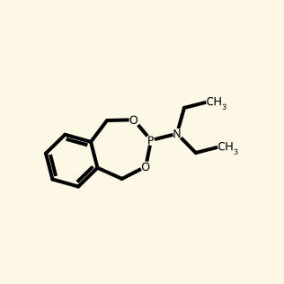 CCN(CC)P1OCc2ccccc2CO1